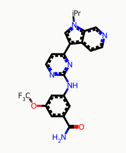 CC(C)n1cc(-c2ccnc(Nc3cc(OC(F)(F)F)cc(C(N)=O)c3)n2)c2ccncc21